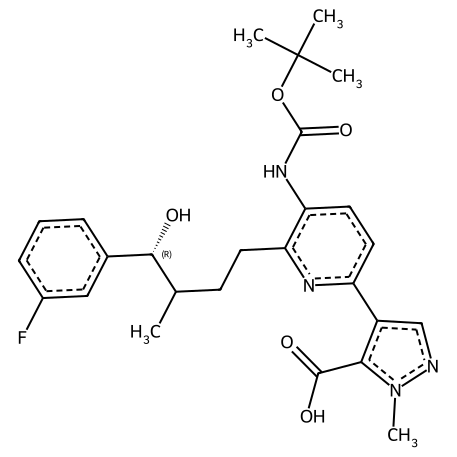 CC(CCc1nc(-c2cnn(C)c2C(=O)O)ccc1NC(=O)OC(C)(C)C)[C@@H](O)c1cccc(F)c1